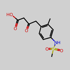 Cc1cc(NS(C)(=O)=O)ccc1CC(=O)CC(=O)O